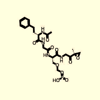 CC(=O)N[C@@H](CCc1ccccc1)C(=O)NCC(=O)N[C@@H](COCO[PH](=O)O)C(=O)NCC(=O)[C@@]1(C)CO1